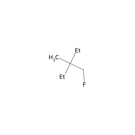 CCC(C)(CC)CF